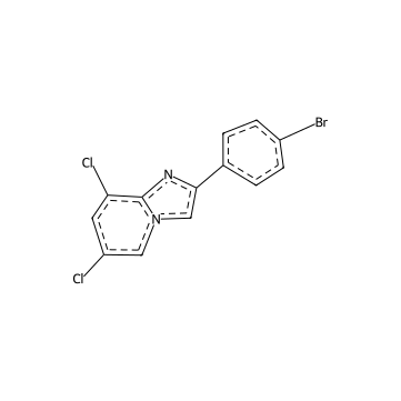 Clc1cc(Cl)c2nc(-c3ccc(Br)cc3)cn2c1